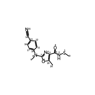 CSNC(=O)c1nc(N(C)c2ccc(C#N)cc2)oc1C